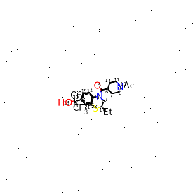 CCC1CN(C(=O)C2CCN(C(C)=O)CC2)c2ccc(C(O)(C(F)(F)F)C(F)(F)F)cc2S1